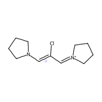 Cl/C(C=[N+]1CCCC1)=C\N1CCCC1